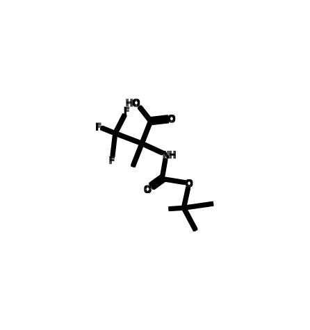 CC(C)(C)OC(=O)NC(C)(C(=O)O)C(F)(F)F